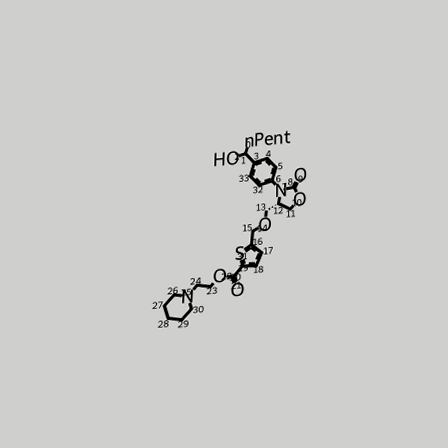 CCCCCC(O)c1ccc(N2C(=O)OC[C@@H]2COCc2ccc(C(=O)OCCN3CCCCC3)s2)cc1